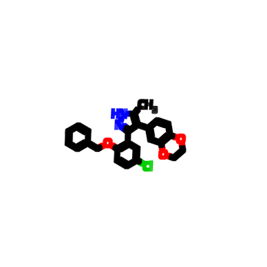 Cc1[nH]nc(-c2cc(Cl)ccc2OCc2ccccc2)c1-c1ccc2c(c1)OCCO2